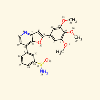 COc1cc(-c2cc3nccc(-c4cccc([S+](N)[O-])c4)c3o2)cc(OC)c1OC